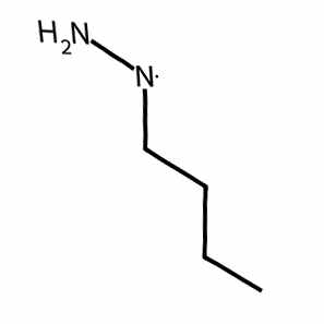 CCCC[N]N